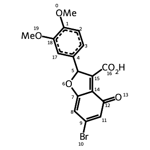 COc1ccc(C2OC3=CC(Br)=CC(=O)C3=C2C(=O)O)cc1OC